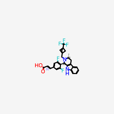 C[C@@H]1Cc2c([nH]c3ccccc23)[C@@H](c2c(F)cc(/C=C/C(=O)O)cc2F)N1CC12CC(C(F)(F)F)(C1)C2